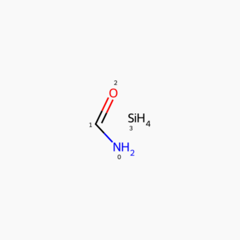 NC=O.[SiH4]